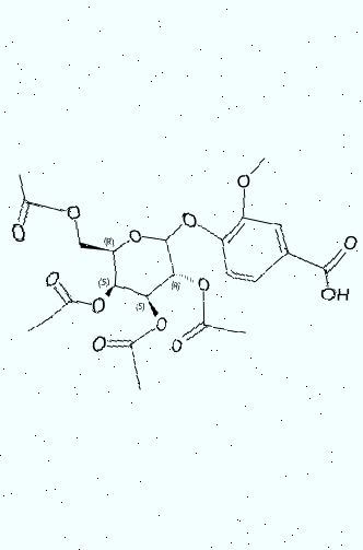 COc1cc(C(=O)O)ccc1OC1O[C@H](COC(C)=O)[C@H](OC(C)=O)[C@H](OC(C)=O)[C@H]1OC(C)=O